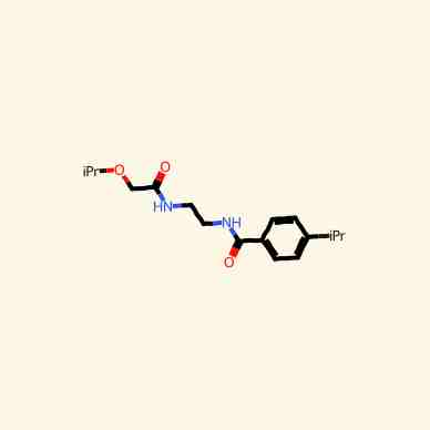 CC(C)OCC(=O)NCCNC(=O)c1ccc(C(C)C)cc1